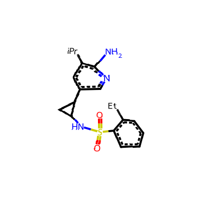 CCc1ccccc1S(=O)(=O)NC1CC1c1cnc(N)c(C(C)C)c1